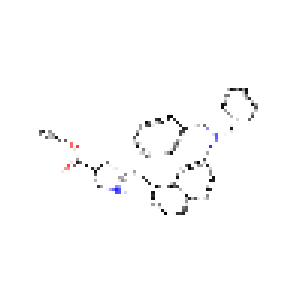 CCCCOC(=O)C1CN[C@@H](Cc2cccc3ccc(N(Cc4ccccc4)Cc4ccccc4)cc23)C1